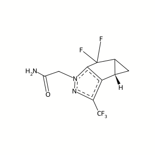 NC(=O)Cn1nc(C(F)(F)F)c2c1C(F)(F)C1C[C@H]21